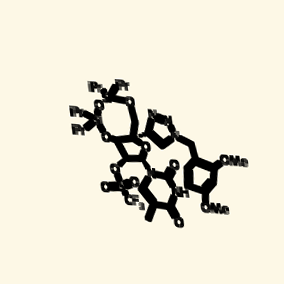 COc1ccc(Cn2cc([C@@]34CO[Si](C(C)C)(C(C)C)O[Si](C(C)C)(C(C)C)OC3[C@H](OS(=O)(=O)C(F)(F)F)[C@H](n3cc(C)c(=O)[nH]c3=O)O4)nn2)c(OC)c1